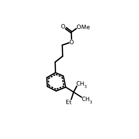 CCC(C)(C)c1cccc(CCCOC(=O)OC)c1